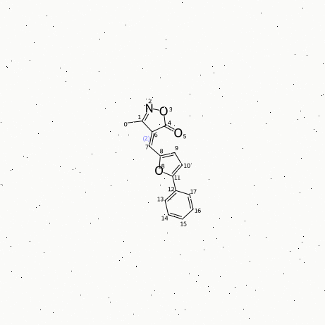 CC1=NOC(=O)/C1=C\c1ccc(-c2ccccc2)o1